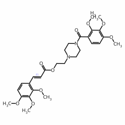 COc1ccc(/C=C/C(=O)OCCN2CCN(C(=O)c3ccc(OC)c(OC)c3OC)CC2)c(OC)c1OC